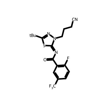 CC(C)(C)c1nn(CCCC#N)/c(=N/C(=O)c2cc(C(F)(F)F)ccc2F)s1